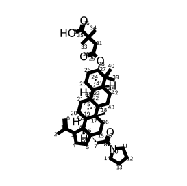 C=C(C)C1CC[C@]2(CC(=O)N3CCCC3)CC[C@]3(C)[C@H](CC[C@@H]4[C@@]5(C)CC[C@H](OC(=O)CC(C)(C)C(=O)O)C(C)(C)[C@@H]5CC[C@]43C)[C@@H]12